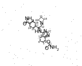 NC(=O)Oc1cccc2c(N[C@H](CN3CCC3)c3ccc(C(N)=O)cc3)ncnc12